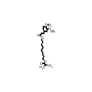 C=C(C)C(=O)OCCCCCCCCCOC(=O)C=Cc1ccc(OCC)c(OCCC)c1